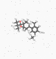 [2H]c1c(OC)c(OC([2H])([2H])[2H])c([2H])c(C2NC([2H])([2H])C([2H])(C([2H])([2H])C(C)(C([2H])([2H])[2H])C([2H])([2H])[2H])C([2H])(O)C2([2H])[2H])c1C([2H])[2H]